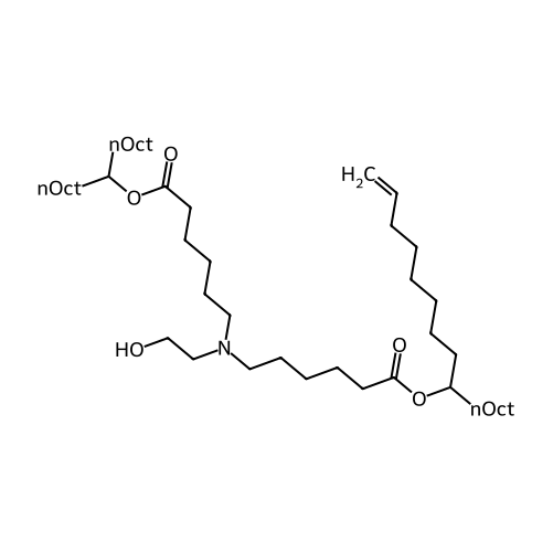 C=CCCCCCCC(CCCCCCCC)OC(=O)CCCCCN(CCO)CCCCCC(=O)OC(CCCCCCCC)CCCCCCCC